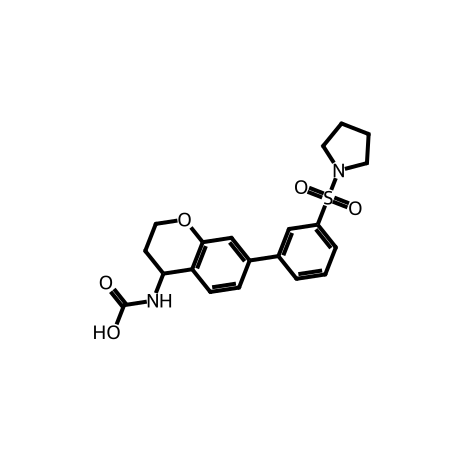 O=C(O)NC1CCOc2cc(-c3cccc(S(=O)(=O)N4CCCC4)c3)ccc21